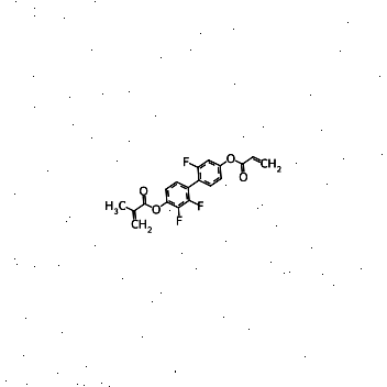 C=CC(=O)Oc1ccc(-c2ccc(OC(=O)C(=C)C)c(F)c2F)c(F)c1